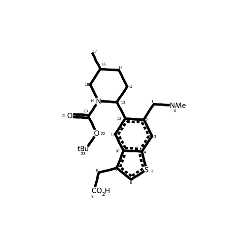 CNCc1cc2scc(CC(=O)O)c2cc1C1CCC(C)CN1C(=O)OC(C)(C)C